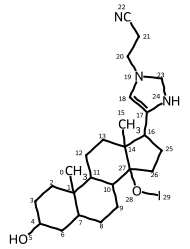 CC12CCC(O)CC1CCC1C2CCC2(C)C(C3=CN(CCC#N)CN3)CCC12OI